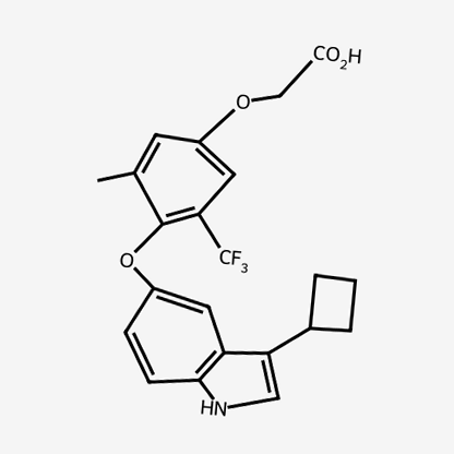 Cc1cc(OCC(=O)O)cc(C(F)(F)F)c1Oc1ccc2[nH]cc(C3CCC3)c2c1